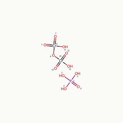 O=P(O)(O)O.[O]=[Cr](=[O])([OH])[O][Cr](=[O])(=[O])[OH]